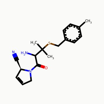 Cc1ccc(CSC(C)(C)C(N)C(=O)N2CC=C[C@H]2C#N)cc1